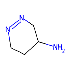 NC1CCN=NC1